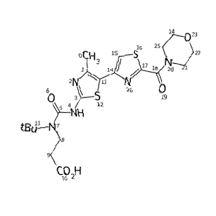 Cc1nc(NC(=O)N(CCC(=O)O)C(C)(C)C)sc1-c1csc(C(=O)N2CCOCC2)n1